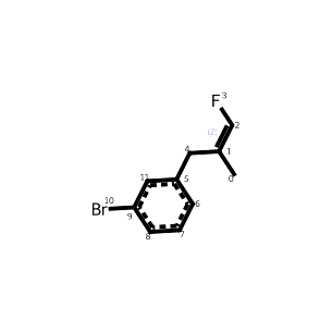 C/C(=C/F)Cc1cccc(Br)c1